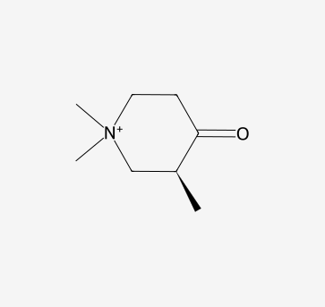 C[C@H]1C[N+](C)(C)CCC1=O